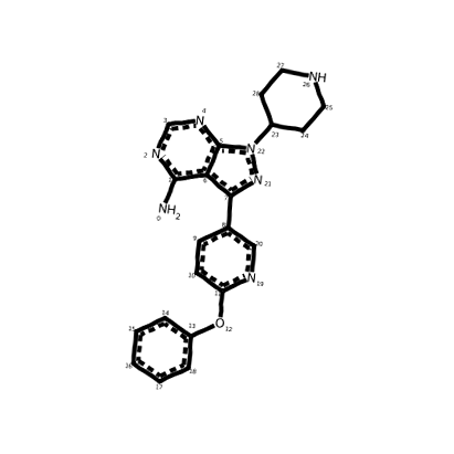 Nc1ncnc2c1c(-c1ccc(Oc3ccccc3)nc1)nn2C1CCNCC1